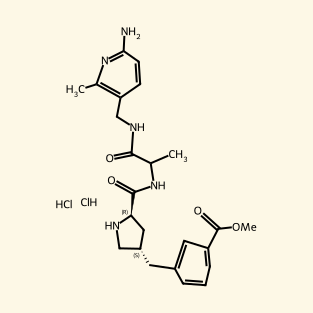 COC(=O)c1cccc(C[C@@H]2CN[C@@H](C(=O)NC(C)C(=O)NCc3ccc(N)nc3C)C2)c1.Cl.Cl